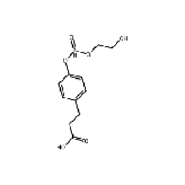 O=C(O)CCc1ccc(O[PH](=O)OCCO)cc1